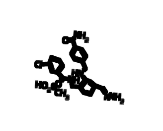 CC(=O)O.NN=Cc1ccc(CNC(=O)c2cccc(Cl)c2)c(NCc2ccc(C(N)=O)cc2)c1